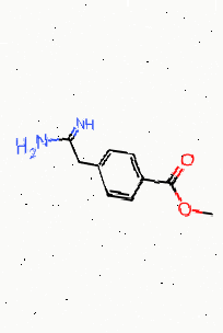 COC(=O)c1ccc(CC(=N)N)cc1